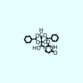 C#CC(OC(=O)c1ccccc1)(OC(=O)c1ccccc1)[C@@H](O)n1ccc(=O)[nH]c1=O